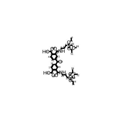 CCO[Si](CCCNC(=O)c1cc(C(=O)c2ccc(C(=O)O)c(C(=O)NCCC[Si](OCC)(OCC)OCC)c2)ccc1C(=O)O)(COC)OCC